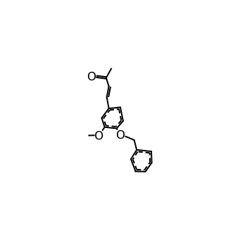 COc1cc(C=CC(C)=O)ccc1OCc1ccccc1